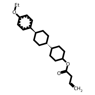 C=CCC(=O)OC1CCC([C@H]2CC[C@H](c3ccc(OCC)cc3)CC2)CC1